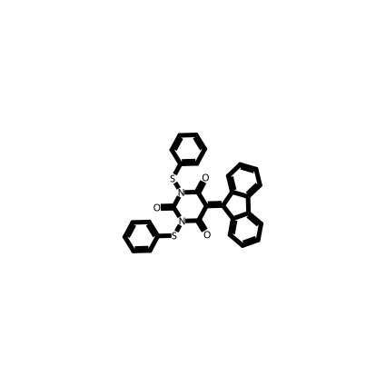 O=C1C(=C2c3ccccc3-c3ccccc32)C(=O)N(Sc2ccccc2)C(=O)N1Sc1ccccc1